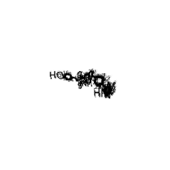 O=C1NC(=S)N(CCc2ccc(O)cc2)C(=O)/C1=C/c1ccc(-c2ccc(-c3nnn[nH]3)cc2)[nH]1